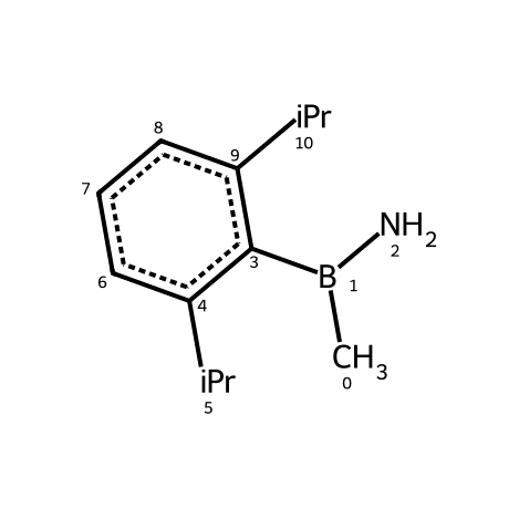 CB(N)c1c(C(C)C)cccc1C(C)C